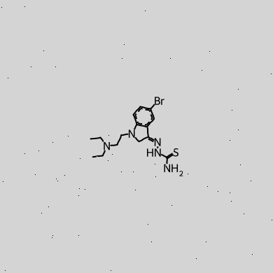 CCN(CC)CCN1C/C(=N\NC(N)=S)c2cc(Br)ccc21